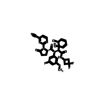 CSc1cc(F)cc(N(C(=O)[C@@H]2CCC(=O)N2c2nccc(C#N)n2)[C@H](C(=O)NC2CC(F)(F)C2)C2(C)C=CC=CC2Cl)c1